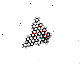 C1=CCCS2(=C1)=CC(c1cccc(C3CCC=C(C4=CCCCC4)C3)c1N1c3cc(-c4c5ccccc5c(-c5ccccc5)c5ccccc45)ccc3B3c4ccc(-c5c6ccccc6c(-c6ccccc6)c6ccccc56)cc4N(c4c(C5=CC(c6ccccc6)=CCC5)cccc4-c4cccc(-c5ccccc5)c4)c4cc(N(c5ccccc5)c5ccccc5)cc1c43)=CC=C2